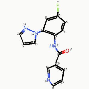 O=C(Nc1ccc(F)cc1-n1cccn1)c1cccnc1